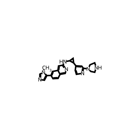 Cn1cncc1-c1ccc2cnc(NC3CC3c3ccnc(N4CCNCC4)c3)cc2c1